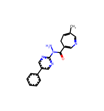 CC1=CCC(C(=O)N(N)c2ncc(-c3ccccc3)cn2)=CN=C1